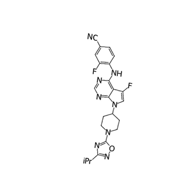 CC(C)c1noc(N2CCC(n3cc(F)c4c(Nc5ccc(C#N)cc5F)ncnc43)CC2)n1